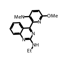 CCNc1nc(-c2nc(OC)ccc2NC)c2ccccc2n1